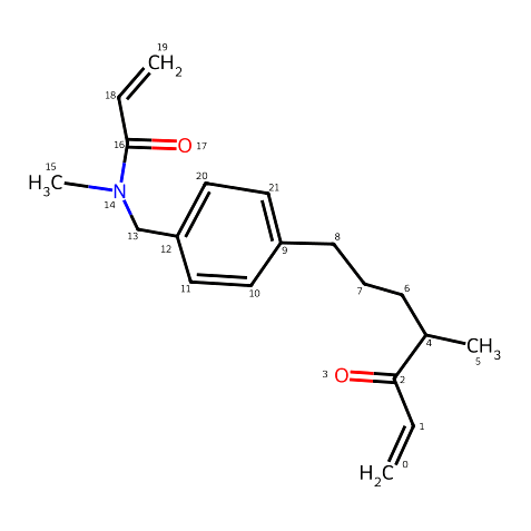 C=CC(=O)C(C)CCCc1ccc(CN(C)C(=O)C=C)cc1